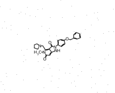 Cn1c(CN2CCCC2)c2c(=O)n(-c3ccc(OCc4ccccc4)cc3)[nH]c2cc1=O